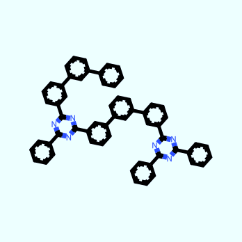 c1ccc(-c2cccc(-c3cccc(-c4nc(-c5ccccc5)nc(-c5cccc(-c6cccc(-c7cccc(-c8nc(-c9ccccc9)nc(-c9ccccc9)n8)c7)c6)c5)n4)c3)c2)cc1